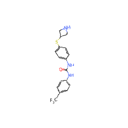 O=C(Nc1ccc(SC2CNC2)cc1)Nc1ccc(C(F)(F)F)cc1